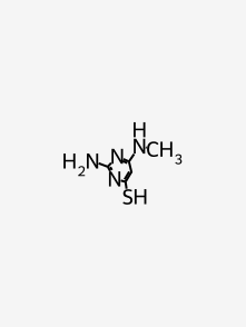 CNc1cc(S)nc(N)n1